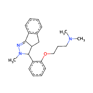 CN(C)CCCOc1ccccc1C1C2Cc3ccccc3C2=NN1C